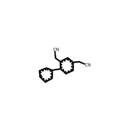 N#CCc1ccc(-c2ccccc2)c(CC#N)c1